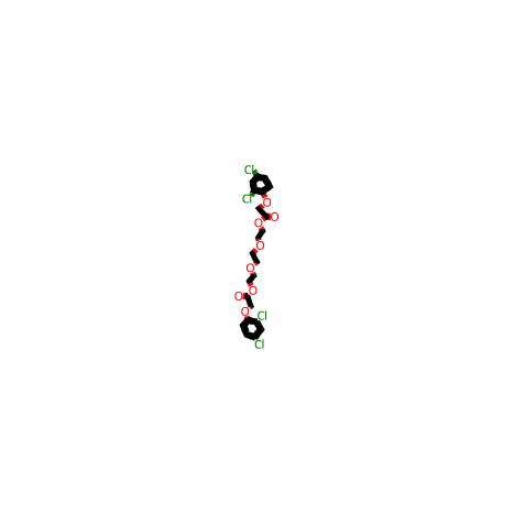 O=C(COc1ccc(Cl)cc1Cl)OCCOCCOCCOC(=O)COc1ccc(Cl)cc1Cl